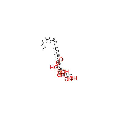 CC/C=C\C/C=C\C/C=C\CCCCCCCC(=O)OC[C@@H](O)COP(=O)(O)OC[C@@H](O)CO